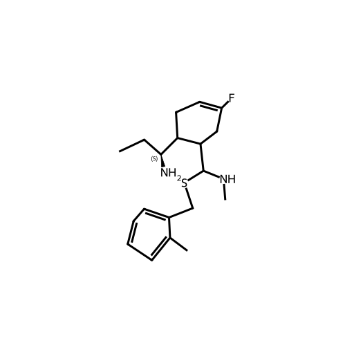 CC[C@H](N)C1CC=C(F)CC1C(NC)SCc1ccccc1C